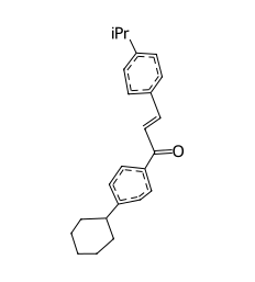 CC(C)c1ccc(C=CC(=O)c2ccc(C3CCCCC3)cc2)cc1